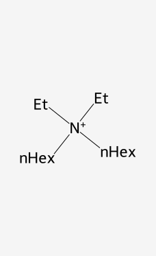 CCCCCC[N+](CC)(CC)CCCCCC